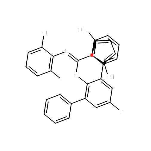 Cc1ccc(C)n1/C(=N/c1c(Cl)cccc1Cl)Oc1c(-c2ccccc2)cc(Br)cc1-c1ccccc1